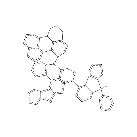 CC1(c2ccccc2)c2ccccc2-c2c(-c3ccc(N(c4ccccc4-c4cccc5cccc(C6CCCCC6)c45)c4ccccc4-c4cccc5oc6ccccc6c45)cc3)cccc21